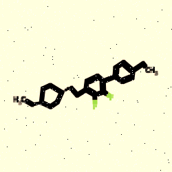 CCc1ccc(-c2ccc(CC[C@H]3CC[C@H](CC)CC3)c(F)c2F)cc1